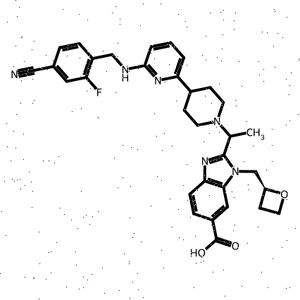 CC(c1nc2ccc(C(=O)O)cc2n1C[C@@H]1CCO1)N1CCC(c2cccc(NCc3ccc(C#N)cc3F)n2)CC1